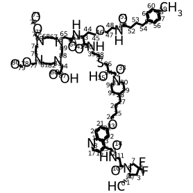 C#C[C@H]1CC(F)(F)CN1C(=O)CNC(=O)c1ccnc2ccc(OCCCCC3CCN(C(=O)C(O)CSCCNC(=O)C(CCOCCNC(=O)CCCc4ccc(C)cc4)NC(=O)CN4CCN(COC=O)CCN(COC=O)CCN(CC(=O)O)CC4)CC3)cc12